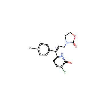 CC(C)c1ccc(/C(=C/CN2CCOC2=O)c2ccc(Cl)c(=O)[nH]2)cc1